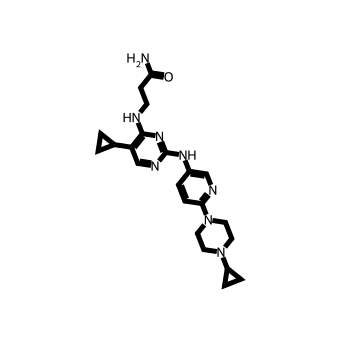 NC(=O)CCNc1nc(Nc2ccc(N3CCN(C4CC4)CC3)nc2)ncc1C1CC1